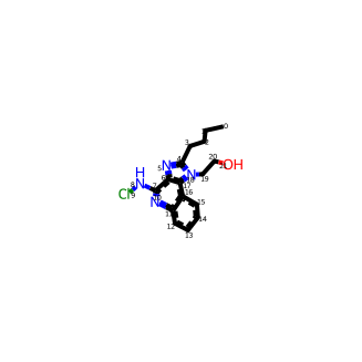 CCCCc1nc2c(NCl)nc3ccccc3c2n1CCO